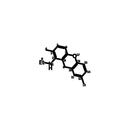 CCNc1c(C)ccc2c1Cc1cc(C)ccc1O2